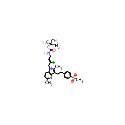 Cc1ccc2c(n1)c(CCc1ccc(S(C)(=O)=O)cc1)c(C)n2C/C(F)=C/CNC(=O)OC(C)(C)C